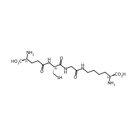 N[C@@H](CCCCNC(=O)CNC(=O)[C@H](CS)NC(=O)CC[C@H](N)C(=O)O)C(=O)O